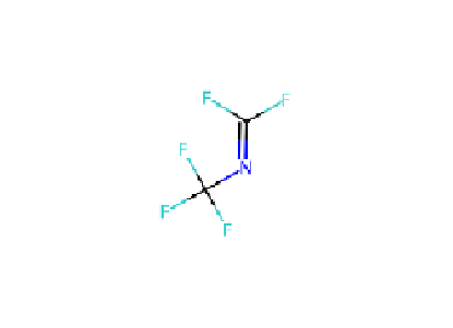 FC(F)=NC(F)(F)F